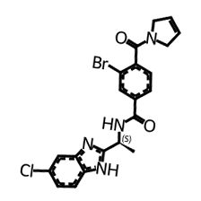 C[C@H](NC(=O)c1ccc(C(=O)N2CC=CC2)c(Br)c1)c1nc2cc(Cl)ccc2[nH]1